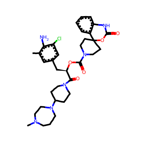 Cc1cc(C[C@@H](OC(=O)N2CCC3(CC2)OC(=O)Nc2ccccc23)C(=O)N2CCC(N3CCCN(C)CC3)CC2)cc(Cl)c1N